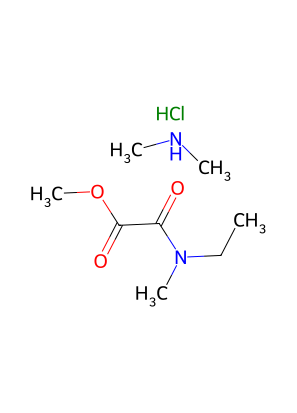 CCN(C)C(=O)C(=O)OC.CNC.Cl